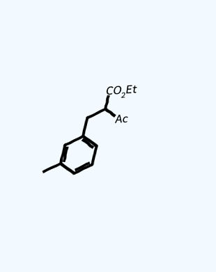 CCOC(=O)C(Cc1cccc(C)c1)C(C)=O